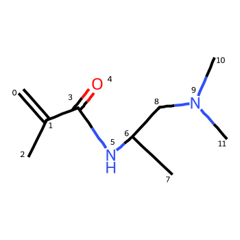 C=C(C)C(=O)NC(C)CN(C)C